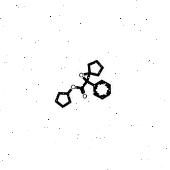 O=C(OC1CCCC1)C1(c2ccccc2)OC12CCCC2